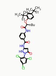 CCCCC(Oc1ccc(C(C)(C)CC)cc1C(C)(C)CC)C(=O)Nc1cccc(C(=O)Nc2cc(=O)n(-c3c(Cl)cc(Cl)cc3Cl)[nH]2)c1